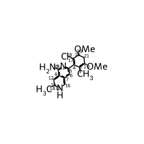 COC1=C(C)C(c2cc3c(c(N)n2)=CC(C)NC=3)=C(Cl)C(OC)C1